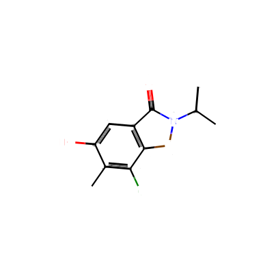 Cc1c(O)cc2c(=O)n(C(C)C)sc2c1Cl